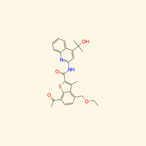 CCOCc1ccc(C(C)=O)c2sc(C(=O)Nc3cc(C(C)(C)O)c4ccccc4n3)c(C)c12